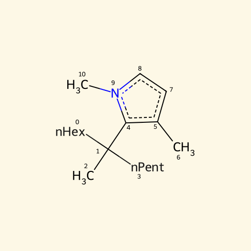 CCCCCCC(C)(CCCCC)c1c(C)ccn1C